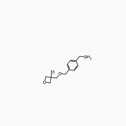 CCC1(COCc2ccc(C[SiH3])cc2)COC1